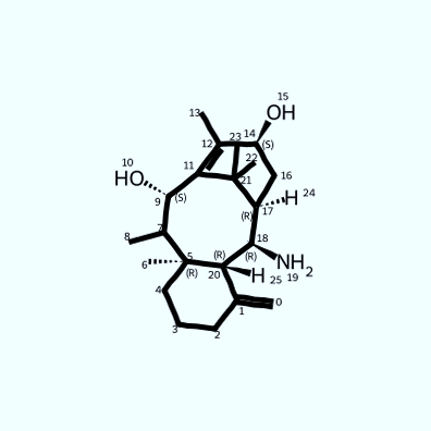 C=C1CCC[C@@]2(C)C(C)[C@H](O)C3=C(C)[C@@H](O)C[C@@H]([C@@H](N)[C@H]12)C3(C)C